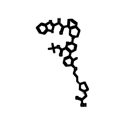 Cc1c(OCCC[C@@H]2CCN(CC(=O)O)C2)cccc1-c1ccc(N2CCc3cccc(C(=O)Nc4nc5ccccc5s4)c3C2)nc1C(=O)OC(C)(C)C